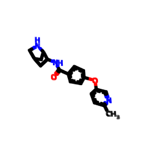 Cc1ccc(Oc2ccc(C(=O)NC3CC4CNC3C4)cc2)cn1